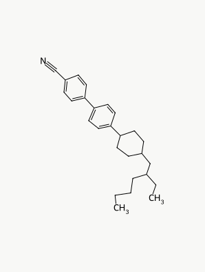 CCCCC(CC)CC1CCC(c2ccc(-c3ccc(C#N)cc3)cc2)CC1